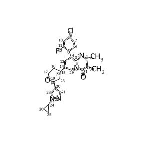 Cc1nc2c(-c3ccc(Cl)cc3F)cc([C@@H]3CCO[C@H](c4cnn(C5CC5)c4)C3)cn2c(=O)c1C